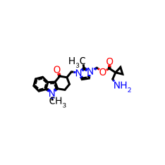 Cc1n(CC2CCc3c(c4ccccc4n3C)C2=O)cc[n+]1COC(=O)C1(CN)CC1